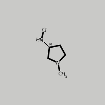 CN1CC[C@@H](NCl)C1